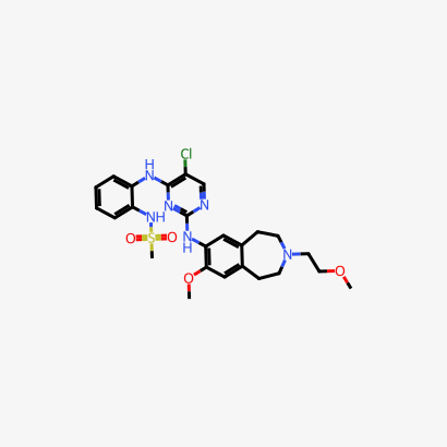 COCCN1CCc2cc(Nc3ncc(Cl)c(Nc4ccccc4NS(C)(=O)=O)n3)c(OC)cc2CC1